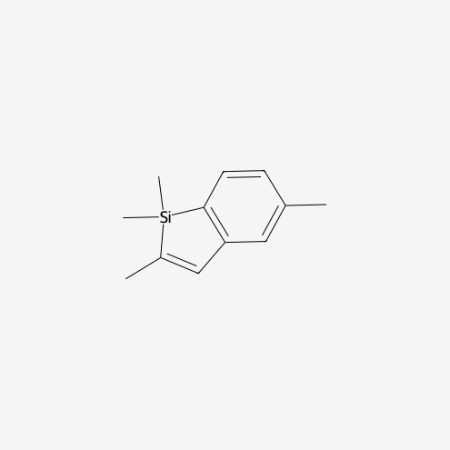 CC1=Cc2cc(C)ccc2[Si]1(C)C